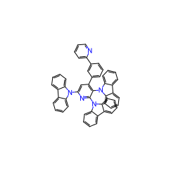 c1ccc(-c2cccc(-c3cc(-n4c5ccccc5c5ccccc54)nc(-n4c5ccccc5c5ccccc54)c3-n3c4ccccc4c4ccccc43)c2)nc1